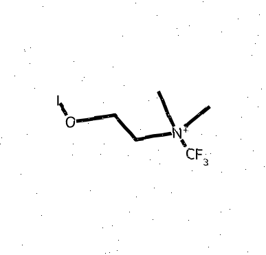 C[N+](C)(CCOI)C(F)(F)F